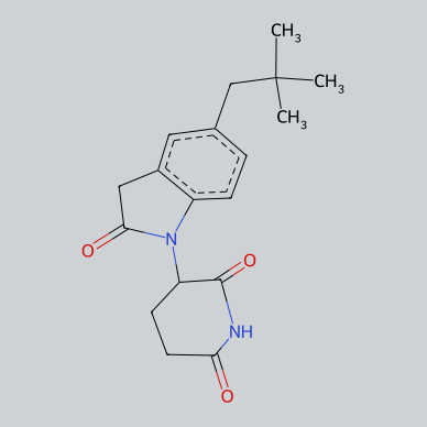 CC(C)(C)Cc1ccc2c(c1)CC(=O)N2C1CCC(=O)NC1=O